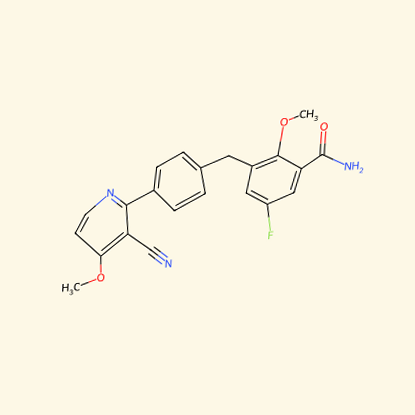 COc1ccnc(-c2ccc(Cc3cc(F)cc(C(N)=O)c3OC)cc2)c1C#N